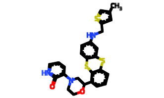 Cc1csc(CNc2ccc3c(c2)Sc2cccc(C4CN(c5ccc[nH]c5=O)CCO4)c2S3)c1